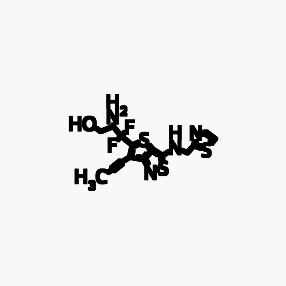 CC#Cc1c(C(F)(F)[C@@H](N)CO)sc2c(NCc3nccs3)snc12